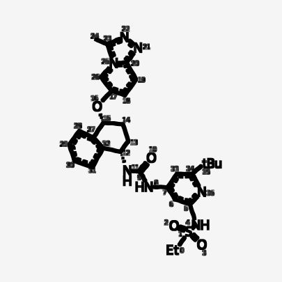 CCS(=O)(=O)Nc1cc(NC(=O)N[C@H]2CC[C@@H](Oc3ccc4nnc(C)n4c3)c3ccccc32)cc(C(C)(C)C)n1